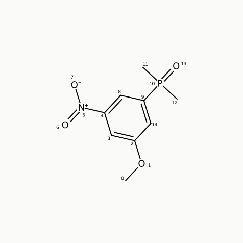 COc1cc([N+](=O)[O-])cc(P(C)(C)=O)c1